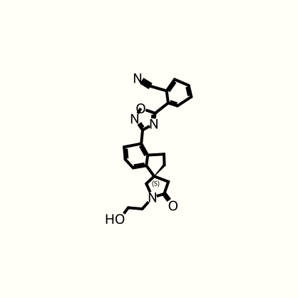 N#Cc1ccccc1-c1nc(-c2cccc3c2CC[C@]32CC(=O)N(CCO)C2)no1